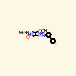 CNC(=O)N1CC2CN(C(=O)Nc3cc(-c4ccc(F)cc4)ccc3[N+](=O)[O-])CC2C1